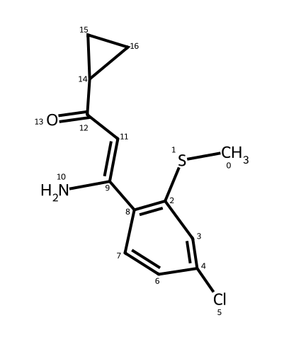 CSc1cc(Cl)ccc1C(N)=CC(=O)C1CC1